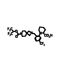 O=C(O)C1CCCCN1c1cc(C(F)(F)F)ccc1CN1CC2(CCN(C(=O)OC(C(F)(F)F)C(F)(F)F)CC2)C1